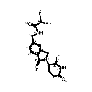 O=C1CCC(N2Cc3cc(CNC(=O)C(F)F)ccc3C2=O)C(=O)N1